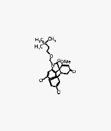 COC1CC(=O)CC(c2cccc(Cl)c2)C12C(=O)N(COCC[Si](C)(C)C)c1cc(Cl)ccc12